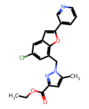 CCOC(=O)c1cc(C)n(Cc2cc(Cl)cc3cc(-c4cccnc4)oc23)n1